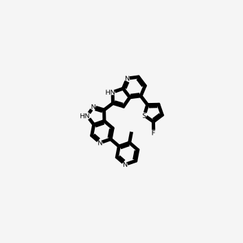 Cc1ccncc1-c1cc2c(-c3cc4c(-c5ccc(F)s5)ccnc4[nH]3)n[nH]c2cn1